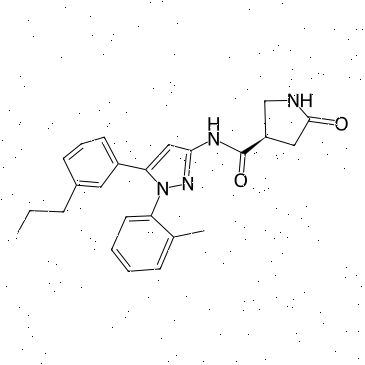 CCCc1cccc(-c2cc(NC(=O)[C@H]3CNC(=O)C3)nn2-c2ccccc2C)c1